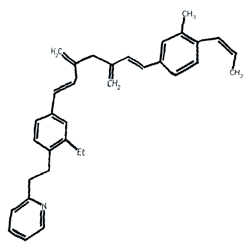 C=C(/C=C/c1ccc(/C=C\C)c(C)c1)CC(=C)/C=C/c1ccc(CCc2ccccn2)c(CC)c1